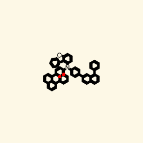 c1ccc(-c2cccc3ccc(-c4ccc(N(c5ccc(-c6cccc7cccc(-c8ccccc8)c67)cc5)c5cccc6oc7ccccc7c56)cc4)cc23)cc1